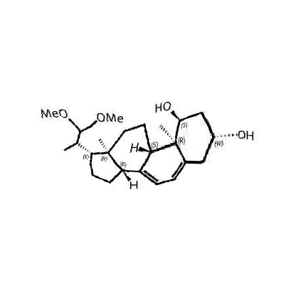 COC(OC)C(C)[C@H]1CC[C@H]2C3=CC=C4C[C@@H](O)C[C@H](O)[C@]4(C)[C@H]3CC[C@]12C